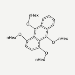 CCCCCCOc1ccc(OCCCCCC)c2c(OCCCCCC)c3ccccc3c(OCCCCCC)c12